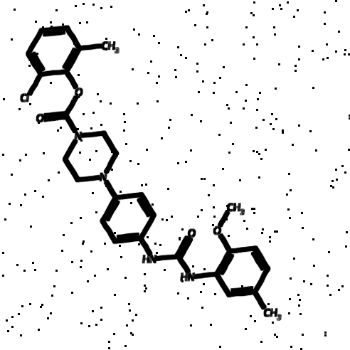 COc1ccc(C)cc1NC(=O)Nc1ccc(N2CCN(C(=O)Oc3c(C)cccc3Cl)CC2)cc1